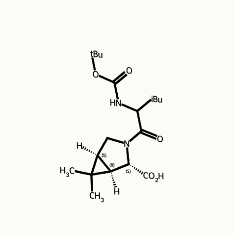 CCC(C)C(NC(=O)OC(C)(C)C)C(=O)N1C[C@H]2[C@@H]([C@H]1C(=O)O)C2(C)C